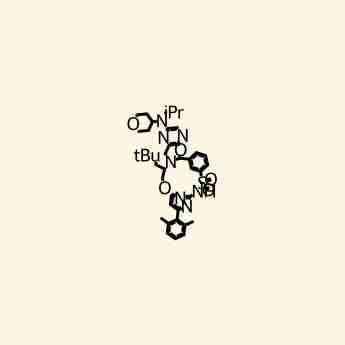 Cc1cccc(C)c1-c1cc2nc(n1)NS(=O)(=O)c1cccc(c1)C(=O)N(Cc1cncc(N(C(C)C)C3CCOCC3)n1)C(CC(C)(C)C)CO2